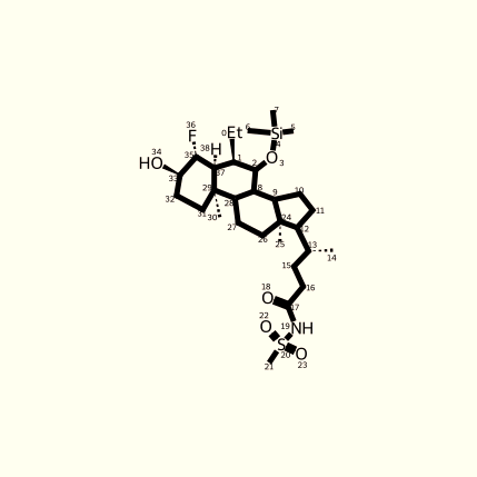 CC[C@H]1C(O[Si](C)(C)C)C2C3CCC([C@H](C)CCC(=O)NS(C)(=O)=O)[C@@]3(C)CCC2[C@@]2(C)CC[C@@H](O)[C@H](F)[C@@H]12